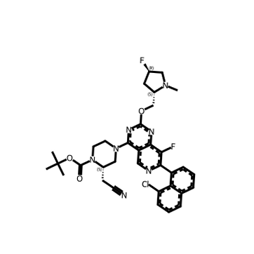 CN1C[C@H](F)C[C@H]1COc1nc(N2CCN(C(=O)OC(C)(C)C)[C@@H](CC#N)C2)c2cnc(-c3cccc4cccc(Cl)c34)c(F)c2n1